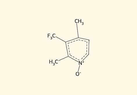 Cc1cc[n+]([O-])c(C)c1C(F)(F)F